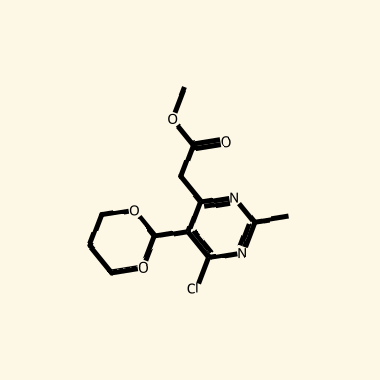 COC(=O)Cc1nc(C)nc(Cl)c1C1OCCCO1